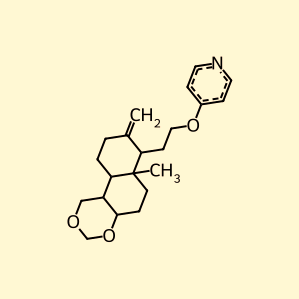 C=C1CCC2C3COCOC3CCC2(C)C1CCOc1ccncc1